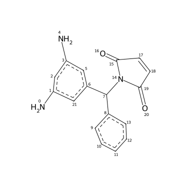 Nc1cc(N)cc(C(c2ccccc2)N2C(=O)C=CC2=O)c1